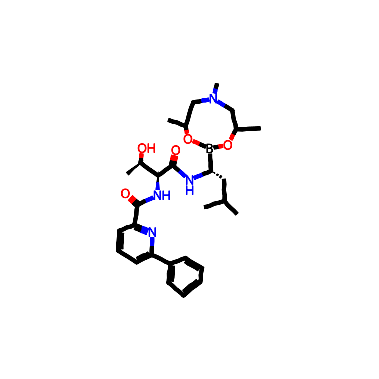 CC(C)C[C@H](NC(=O)[C@@H](NC(=O)c1cccc(-c2ccccc2)n1)[C@@H](C)O)B1OC(C)CN(C)CC(C)O1